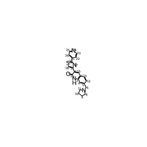 O=c1[nH]c2cc(CN3CCCC3)ccc2cc1-c1csc(-c2ccncc2)n1